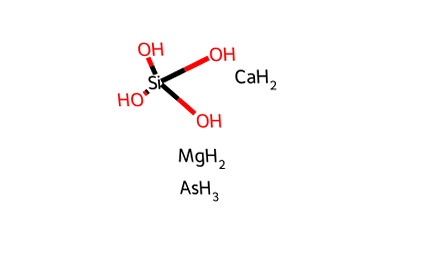 O[Si](O)(O)O.[AsH3].[CaH2].[MgH2]